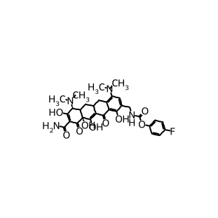 CN(C)c1cc(CNC(=O)Oc2ccc(F)cc2)c(O)c2c1CC1CC3[C@H](N(C)C)C(O)=C(C(N)=O)C(=O)[C@@]3(O)C(O)=C1C2=O